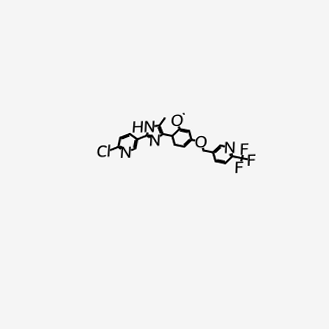 COC1=CC(OCc2ccc(C(F)(F)F)nc2)=CCC1c1nc(-c2ccc(Cl)nc2)[nH]c1C